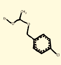 CCOC(C)OCc1ccc(Cl)cc1